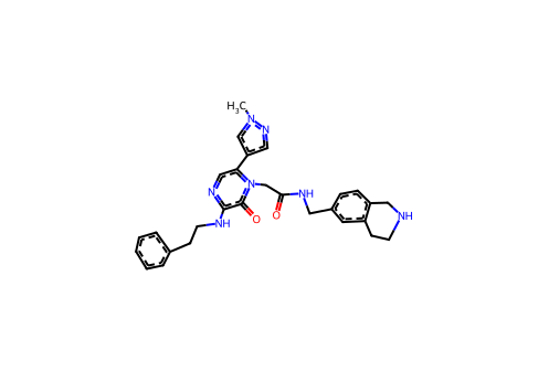 Cn1cc(-c2cnc(NCCc3ccccc3)c(=O)n2CC(=O)NCc2ccc3c(c2)CCNC3)cn1